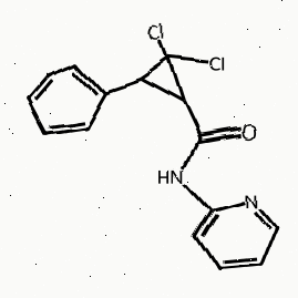 O=C(Nc1ccccn1)C1C(c2ccccc2)C1(Cl)Cl